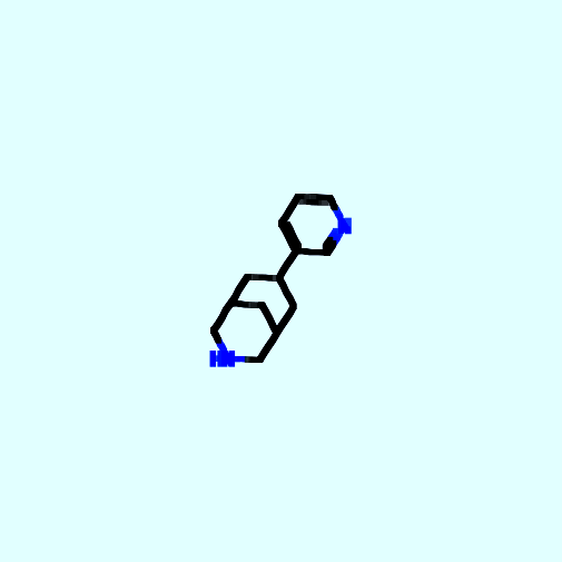 c1cncc(C2CC3CNCC(C3)C2)c1